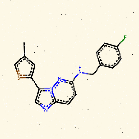 Cc1csc(-c2cnc3ccc(NCc4ccc(F)cc4)nn23)c1